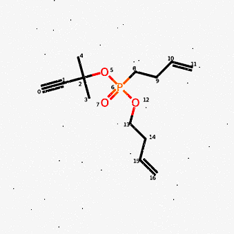 C#CC(C)(C)OP(=O)(CCC=C)OCCC=C